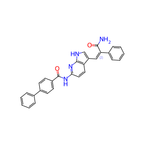 NC(=O)/C(=C\c1c[nH]c2nc(NC(=O)c3ccc(-c4ccccc4)cc3)ccc12)c1ccccc1